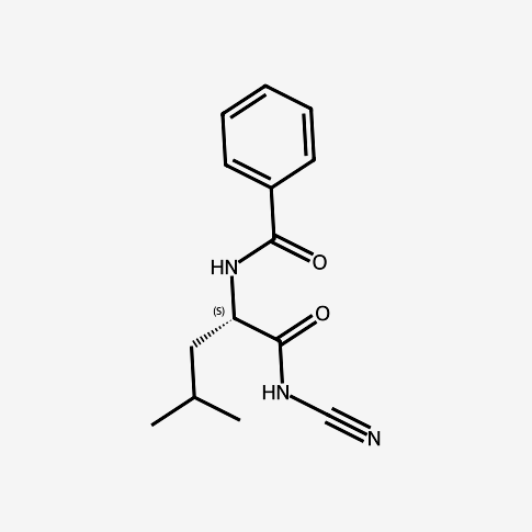 CC(C)C[C@H](NC(=O)c1ccccc1)C(=O)NC#N